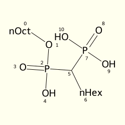 CCCCCCCCOP(=O)(O)C(CCCCCC)P(=O)(O)O